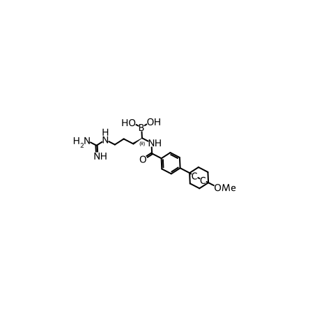 COC12CCC(c3ccc(C(=O)N[C@@H](CCCNC(=N)N)B(O)O)cc3)(CC1)CC2